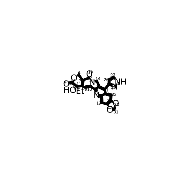 CC[C@@]1(O)C(=O)OCc2c1cc1n(c2=O)Cc2c-1nc1cc3c(cc1c2-c1cc[nH]n1)OCO3